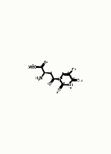 COC(=O)C(N)CC(=O)n1cc(F)c(=O)[nH]c1=O